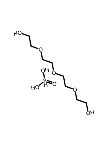 O=[PH](O)O.OCCOCCOCCOCCO